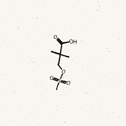 CC(C)(COS(C)(=O)=O)C(=O)O